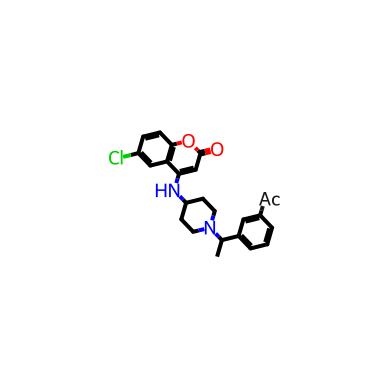 CC(=O)c1cccc(C(C)N2CCC(Nc3cc(=O)oc4ccc(Cl)cc34)CC2)c1